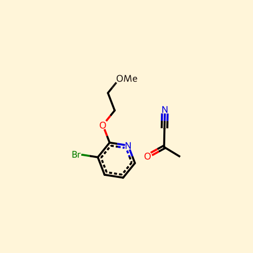 CC(=O)C#N.COCCOc1ncccc1Br